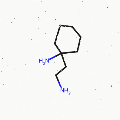 NCCC1(N)CCCCC1